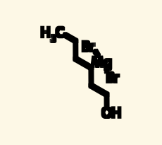 CCCCCCO.[Br][Mg][Br]